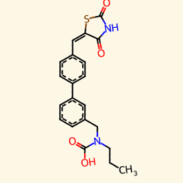 CCCN(Cc1cccc(-c2ccc(C=C3SC(=O)NC3=O)cc2)c1)C(=O)O